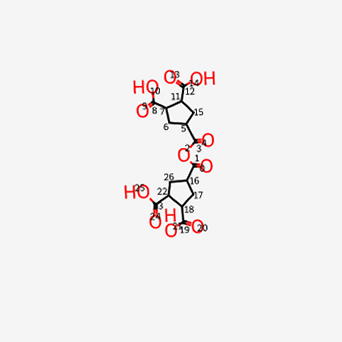 O=C(OC(=O)C1CC(C(=O)O)C(C(=O)O)C1)C1CC(C(=O)O)C(C(=O)O)C1